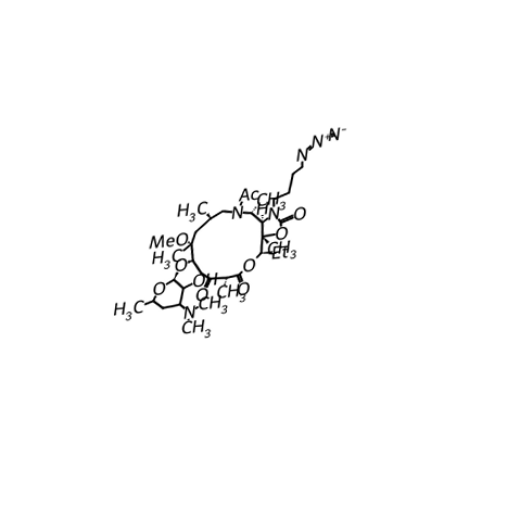 CC[C@H]1OC(=O)[C@H](C)C(=O)C[C@@H](O[C@@H]2OC(C)CC(N(C)C)C2O)[C@](C)(OC)C[C@@H](C)CN(C(C)=O)[C@H](C)[C@H]2N(CCCCN=[N+]=[N-])C(=O)O[C@]12C